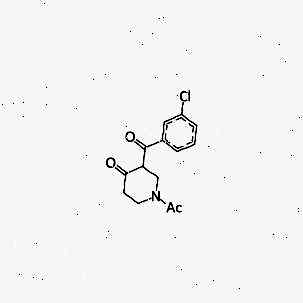 CC(=O)N1CCC(=O)C(C(=O)c2cccc(Cl)c2)C1